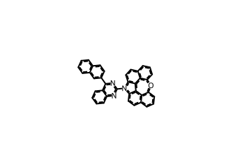 c1ccc2cc(-c3nc(-n4c5ccc6cccc7oc8cccc9ccc4c(c98)c5c67)nc4ccccc34)ccc2c1